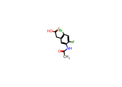 CC(=O)Nc1cc(CC(O)=S)c(Br)cc1F